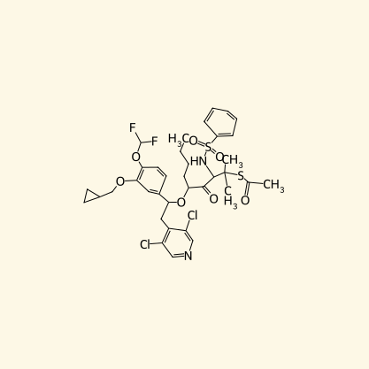 CCCCC(OC(Cc1c(Cl)cncc1Cl)c1ccc(OC(F)F)c(OCC2CC2)c1)C(=O)C(NS(=O)(=O)c1ccccc1)C(C)(C)SC(C)=O